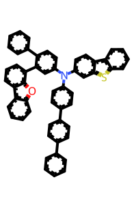 c1ccc(-c2ccc(-c3ccc(N(c4ccc(-c5ccccc5)c(-c5cccc6c5oc5ccccc56)c4)c4ccc5c(c4)sc4ccccc45)cc3)cc2)cc1